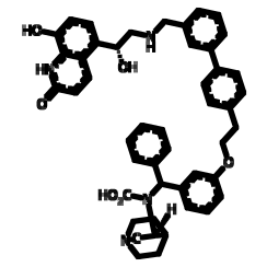 O=C(O)N(C(c1ccccc1)c1cccc(OCCc2ccc(-c3cccc(CNC[C@H](O)c4ccc(O)c5[nH]c(=O)ccc45)c3)cc2)c1)[C@H]1CN2CCC1CC2